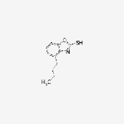 CCCCc1cccc2oc(S)nc12